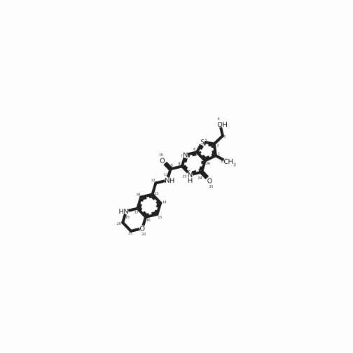 Cc1c(CO)sc2nc(C(=O)NCc3ccc4c(c3)NCCO4)[nH]c(=O)c12